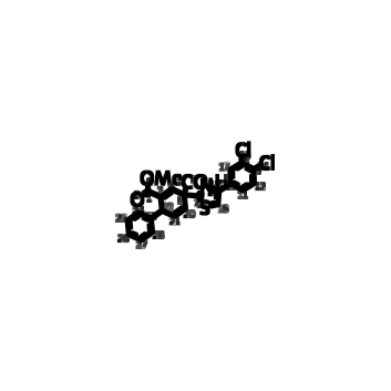 COC(=O)C1=CC(C(=O)O)(c2nc(-c3ccc(Cl)c(Cl)c3)cs2)C=CC1c1ccccc1